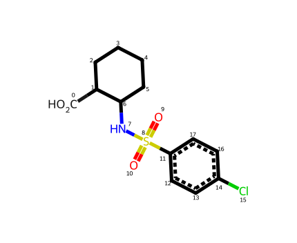 O=C(O)C1CCCCC1NS(=O)(=O)c1ccc(Cl)cc1